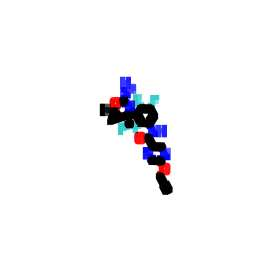 C#CCOc1cnc(C(=O)Nc2cc(F)c(F)c([C@@]3(C(F)F)N=C(N)O[C@@H]4CC43)c2)cn1